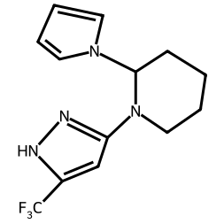 FC(F)(F)c1cc(N2CCCCC2n2cccc2)n[nH]1